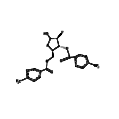 O=C(OC[C@H]1SC(O)[C@@H](F)[C@@H]1OC(=O)c1ccc(C(F)(F)F)cc1)c1ccc(C(F)(F)F)cc1